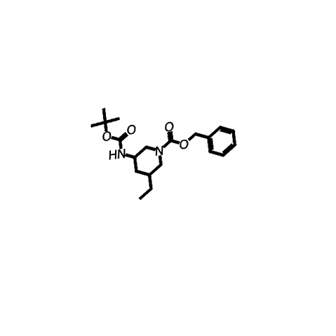 CCC1CC(NC(=O)OC(C)(C)C)CN(C(=O)OCc2ccccc2)C1